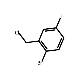 ClCc1cc(I)ccc1Br